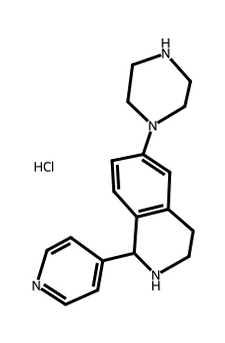 Cl.c1cc(C2NCCc3cc(N4CCNCC4)ccc32)ccn1